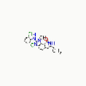 C=Cc1cc2ccc3nc(Nc4c(Cl)cccc4Cl)n(C)c3c2c(=O)[nH]1